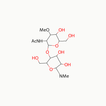 CNC1OC(CO)C(OC2OC(CO)C(O)C(OC)C2NC(C)=O)C(O)C1O